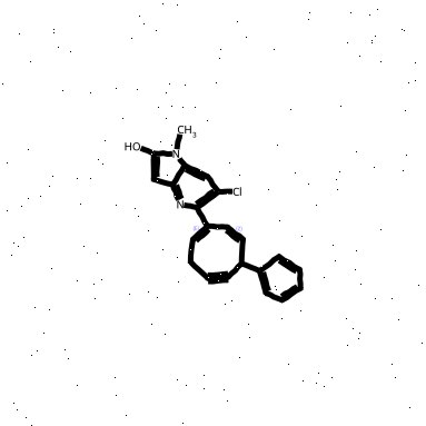 Cn1c(O)cc2nc(C3=C/CC#CC(c4ccccc4)/C=C\3)c(Cl)cc21